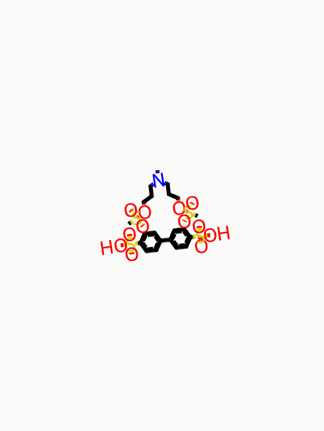 CN(CCCOS(C)(=O)=O)CCCOS(C)(=O)=O.O=S(=O)(O)c1ccc(-c2ccc(S(=O)(=O)O)cc2)cc1